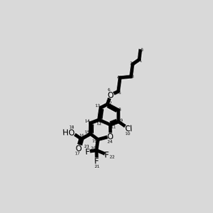 CCCCCCOc1cc(Cl)c2c(c1)C=C(C(=O)O)C(C(F)(F)F)O2